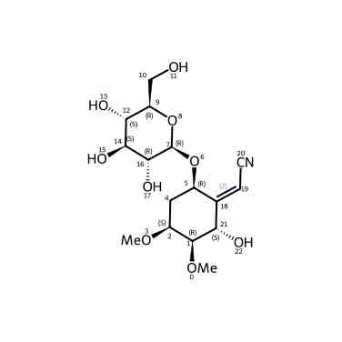 CO[C@H]1[C@@H](OC)C[C@@H](O[C@@H]2O[C@H](CO)[C@@H](O)[C@H](O)[C@H]2O)/C(=C\C#N)[C@@H]1O